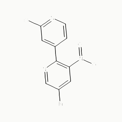 O=[N+]([O-])c1cc(Br)cnc1-c1ccnc(Cl)c1